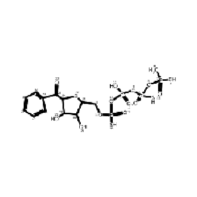 CP(=O)(O)OP(=O)(S)OP(=O)(O)OP(=O)(S)OCC1OC(C(=O)c2ccccc2)C(O)C1O